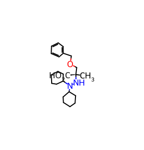 C[C@@](COCc1ccccc1)(NN(C1CCCCC1)C1CCCCC1)C(=O)O